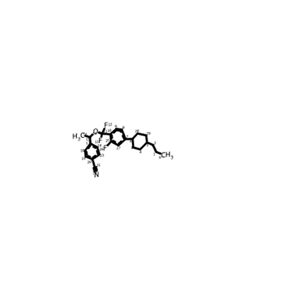 CCCC1CCC(c2ccc(C(F)(F)OC(C)c3ccc(C#N)cc3)c(F)c2)CC1